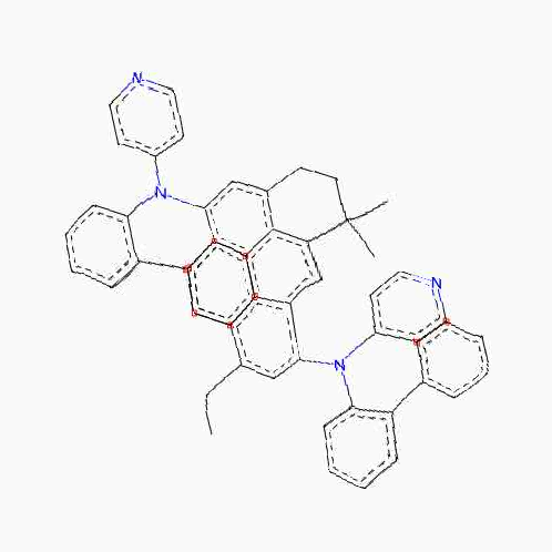 CCc1cc(N(c2ccncc2)c2ccccc2-c2ccccc2)c2cc3c4c(cc(N(c5ccncc5)c5ccccc5-c5ccccc5)c5ccc1c2c54)CCC3(C)C